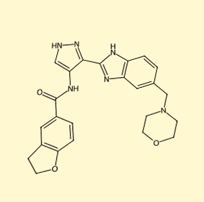 O=C(Nc1c[nH]nc1-c1nc2cc(CN3CCOCC3)ccc2[nH]1)c1ccc2c(c1)CCO2